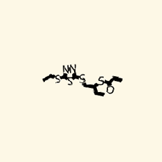 C=CC(=O)SC(CC)CSc1nnc(SCC)s1